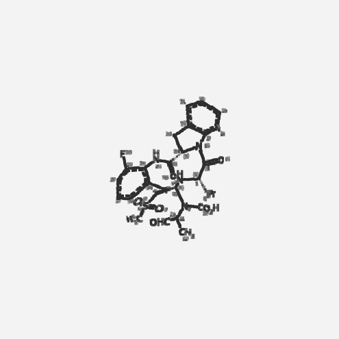 CC(C)[C@H](N[C@H](CS(C)(=O)=O)N(C(=O)O)C(C)C=O)C(=O)N1c2ncccc2C[C@H]1C(=O)Nc1c(F)cccc1F